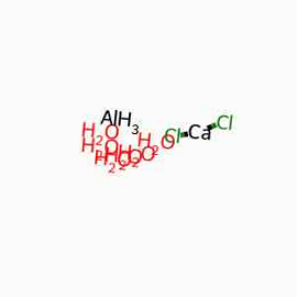 O.O.O.O.O.O.[AlH3].[Cl][Ca][Cl]